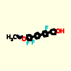 C/C=C/COc1ccc(-c2ccc(-c3ccc(C4CCC(O)CC4)c(F)c3)cc2)c(F)c1F